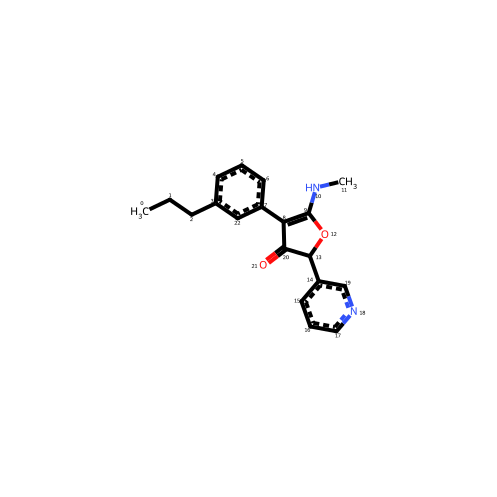 CCCc1cccc(C2=C(NC)OC(c3cccnc3)C2=O)c1